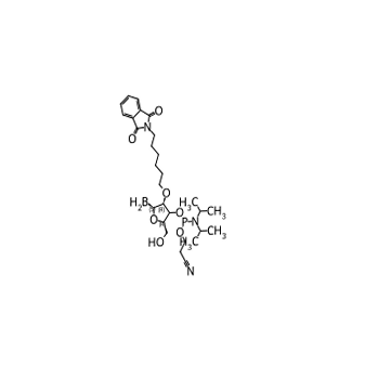 B[C@@H]1O[C@H](CO)C(OP(OCCC#N)N(C(C)C)C(C)C)[C@@H]1OCCCCCCN1C(=O)c2ccccc2C1=O